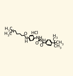 CN(C)CCCCC(=O)Nc1ccc(NC(=O)NC(=O)c2ccc(C(C)(C)C)cc2)cc1.Cl